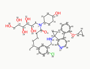 CC(CCCC(=O)N(C[C@@H](O)[C@H](O)[C@@H](O)[C@@H](O)CO)C1CCC(O)CC1)c1ccc(Cl)c(CNC2(c3cnccc3-c3ccccc3OC3CC3)CC2)c1